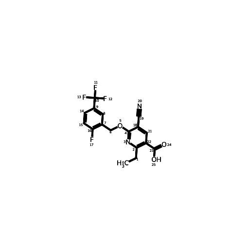 CCc1nc(OCc2cc(C(F)(F)F)ccc2F)c(C#N)cc1C(=O)O